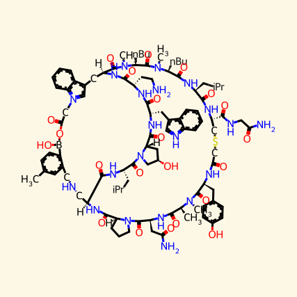 CCCC[C@H]1C(=O)N(C)[C@@H](CCCC)C(=O)N[C@@H](CC(C)C)C(=O)N[C@H](C(=O)NCC(N)=O)CSCC(=O)N[C@@H](Cc2ccc(O)cc2)C(=O)N(C)[C@@H](C)C(=O)N[C@@H](CC(N)=O)C(=O)N2CCC[C@H]2C(=O)N[C@H]2CNCc3cc(C)ccc3B(O)OC(=O)Cn3cc(c4ccccc43)C[C@H](NC(=O)[C@H](CCN)NC(=O)[C@H](Cc3c[nH]c4ccccc34)NC(=O)[C@@H]3C[C@@H](O)CN3C(=O)[C@H](CC(C)C)NC2=O)C(=O)N1C